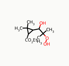 CCOC(=O)C1C(C(O)C(C)(C)OO)C1(C)C